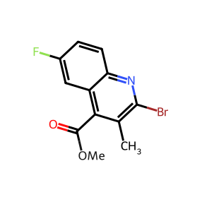 COC(=O)c1c(C)c(Br)nc2ccc(F)cc12